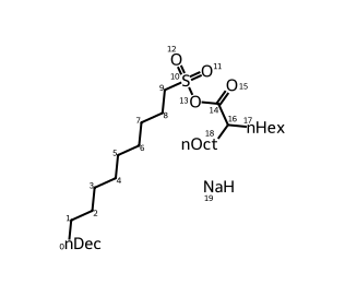 CCCCCCCCCCCCCCCCCCCS(=O)(=O)OC(=O)C(CCCCCC)CCCCCCCC.[NaH]